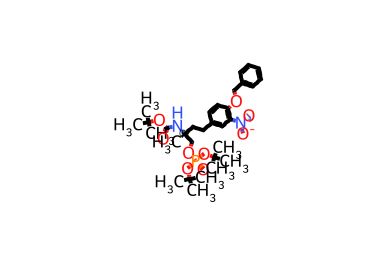 CC(C)(C)OC(=O)N[C@](C)(CCc1ccc(OCc2ccccc2)c([N+](=O)[O-])c1)COP(=O)(OC(C)(C)C)OC(C)(C)C